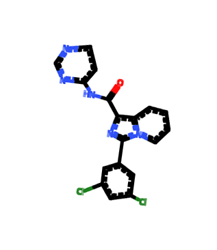 O=C(Nc1ccncn1)c1nc(-c2cc(Cl)cc(Cl)c2)n2ccccc12